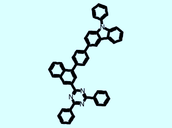 c1ccc(-c2nc(-c3ccccc3)nc(-c3cc(-c4ccc(-c5ccc6c(c5)c5ccccc5n6-c5ccccc5)cc4)c4ccccc4c3)n2)cc1